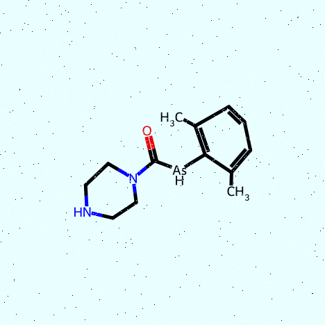 Cc1cccc(C)c1[AsH]C(=O)N1CCNCC1